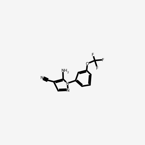 N#Cc1cnn(-c2cccc(OC(F)(F)F)c2)c1N